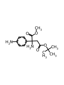 COC(=O)C(N)(CC(=O)OC(C)(C)C)c1ccc(N)cc1